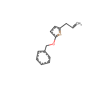 C=CCc1ccc(OCc2ccccc2)s1